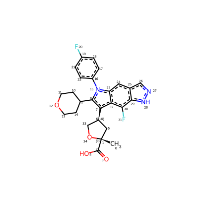 C[C@]1(C(=O)O)C[C@H](c2c(C3CCOCC3)n(-c3ccc(F)cc3)c3cc4cn[nH]c4c(F)c23)CO1